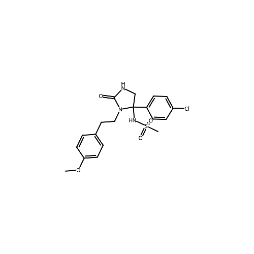 COc1ccc(CCN2C(=O)NCC2(NS(C)(=O)=O)c2ccc(Cl)cc2)cc1